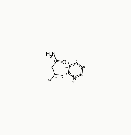 CC(C)CC(N)=O.c1ccncc1